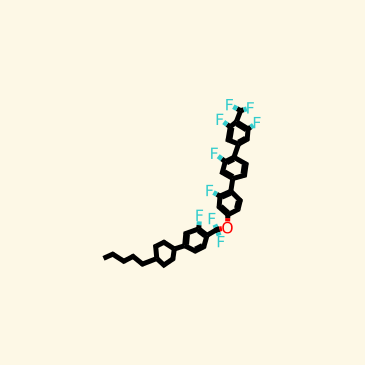 CCCCCC1CCC(c2ccc(C(F)(F)Oc3ccc(-c4ccc(-c5cc(F)c(C(F)F)c(F)c5)c(F)c4)c(F)c3)c(F)c2)CC1